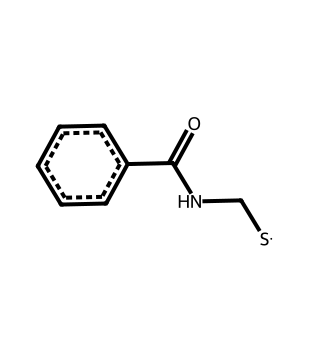 O=C(NC[S])c1ccccc1